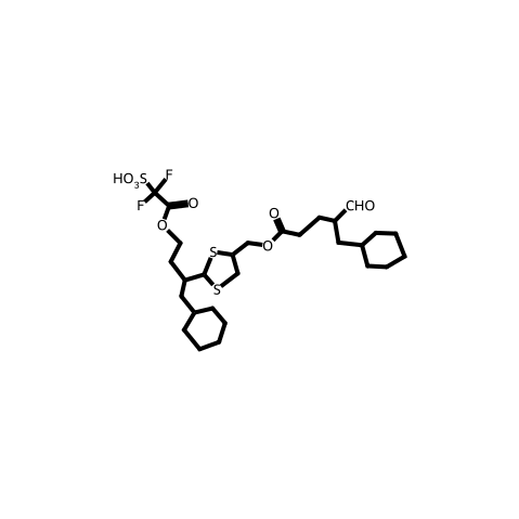 O=CC(CCC(=O)OCC1CSC(C(CCOC(=O)C(F)(F)S(=O)(=O)O)CC2CCCCC2)S1)CC1CCCCC1